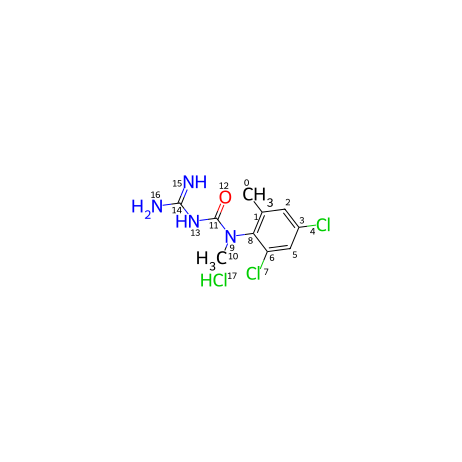 Cc1cc(Cl)cc(Cl)c1N(C)C(=O)NC(=N)N.Cl